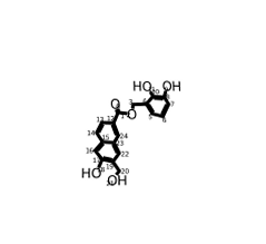 O=C(OCc1cccc(O)c1O)c1ccc2cc(O)c(CO)cc2c1